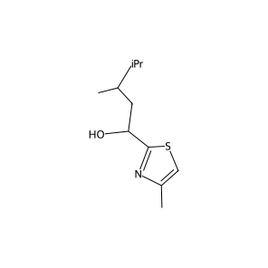 Cc1csc(C(O)CC(C)C(C)C)n1